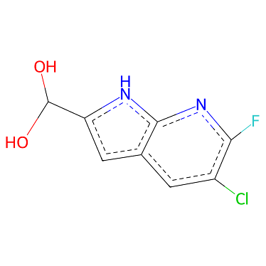 OC(O)c1cc2cc(Cl)c(F)nc2[nH]1